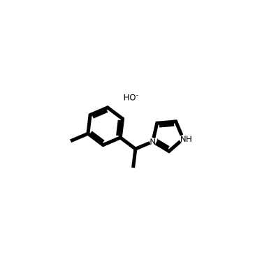 Cc1cccc(C(C)[n+]2cc[nH]c2)c1.[OH-]